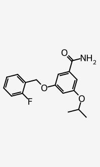 CC(C)Oc1cc(OCc2ccccc2F)cc(C(N)=O)c1